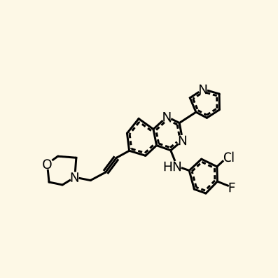 Fc1ccc(Nc2nc(-c3cccnc3)nc3ccc(C#CCN4CCOCC4)cc23)cc1Cl